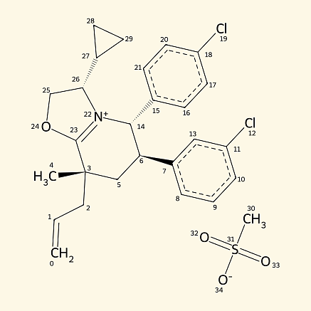 C=CC[C@@]1(C)C[C@H](c2cccc(Cl)c2)[C@@H](c2ccc(Cl)cc2)[N+]2=C1OC[C@@H]2C1CC1.CS(=O)(=O)[O-]